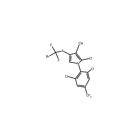 N#Cc1c(SC(F)(F)Br)cn(-c2c(Cl)cc(C(F)(F)F)cc2Cl)c1Cl